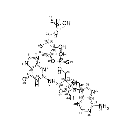 Nc1nc2c(ncn2[C@@H]2S[C@H](CO[PH](O)=S)[C@@H](O)[C@H]2OP(O)(=S)OC[C@@]23CO[C@@H]([C@H](n4cnc5c(N)ncnc54)O2)[C@@H]3O)c(=O)[nH]1